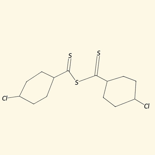 S=C(SC(=S)C1CCC(Cl)CC1)C1CCC(Cl)CC1